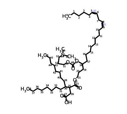 CCCCC/C=C\C/C=C\CCCCCCCCC(CCCOC(=O)C(CC(=O)O)C(CCCCCCCC)CCCCCCCC)OC(=O)OCCCN(C)C